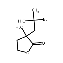 CCC(C)(C)CC1(C)CCOC1=O